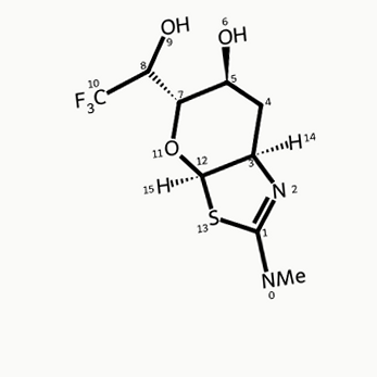 CNC1=N[C@@H]2C[C@H](O)[C@@H](C(O)C(F)(F)F)O[C@@H]2S1